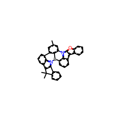 Cc1cc2c3c(c1)-n1c4oc5ccccc5c4c4cccc(c41)B3n1c3c(c4cccc-2c41)C(C)(C)c1ccccc1-3